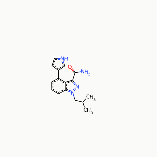 CC(C)Cn1nc(C(N)=O)c2c(-c3cc[nH]c3)cccc21